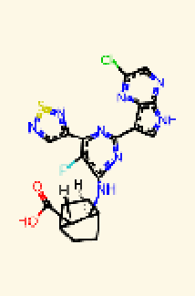 O=C(O)[C@H]1C2CCC(CC2)[C@@H]1Nc1nc(-c2c[nH]c3ncc(Cl)nc23)nc(-c2cnsn2)c1F